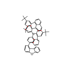 CC(C)(C)c1cc(-c2cccc3cccc(-c4ccccc4N(c4ccc(-c5cccc6oc7ccccc7c56)cc4)c4ccc(C(C)(C)C)cc4-c4ccccc4)c23)cc(C(C)(C)C)c1